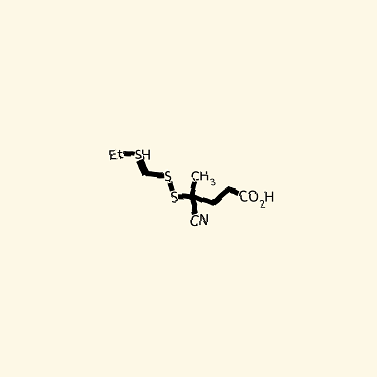 CC[SH]=CSSC(C)(C#N)CCC(=O)O